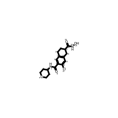 O=C(NC1CCOCC1)c1cc2c(cc1Cl)CC(C(=O)NO)CC2